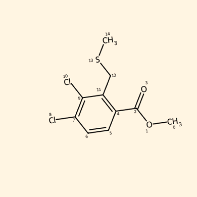 COC(=O)c1ccc(Cl)c(Cl)c1CSC